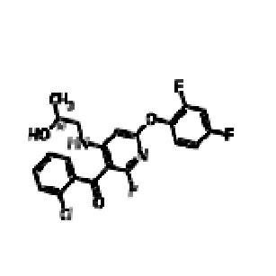 C[C@H](O)CNc1cc(Oc2ccc(F)cc2F)nc(F)c1C(=O)c1ccccc1Cl